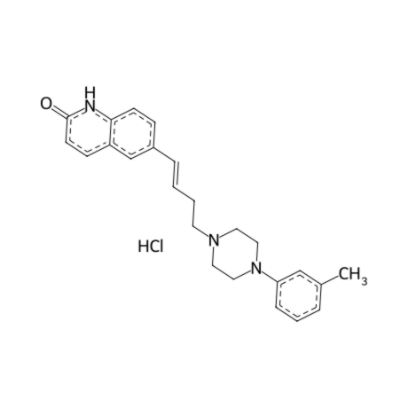 Cc1cccc(N2CCN(CCC=Cc3ccc4[nH]c(=O)ccc4c3)CC2)c1.Cl